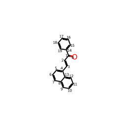 O=C(C=Cc1cccc2ccccc12)c1ccccc1